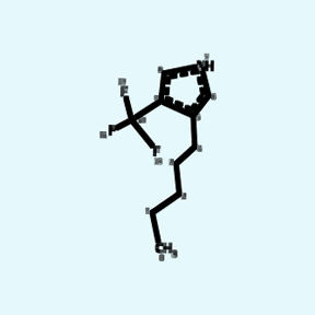 CCCCCc1c[nH]cc1C(F)(F)F